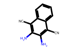 N#Cc1c(N)c(N)c(C#N)c2ccccc12